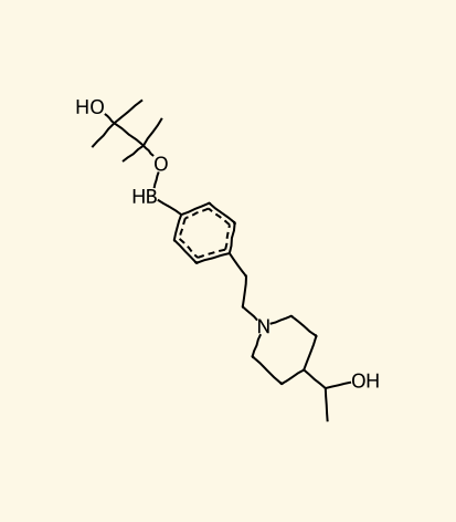 CC(O)C1CCN(CCc2ccc(BOC(C)(C)C(C)(C)O)cc2)CC1